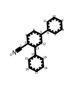 N#Cc1ccc(-c2ccccc2)[c]c1-c1ccccc1